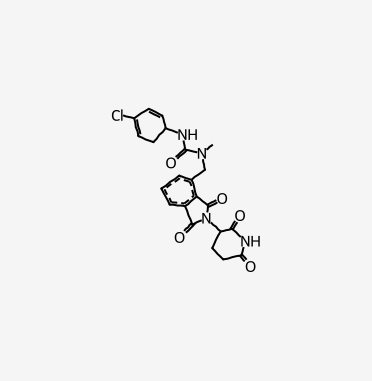 CN(Cc1cccc2c1C(=O)N(C1CCC(=O)NC1=O)C2=O)C(=O)NC1C=CC(Cl)=CC1